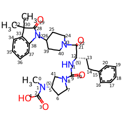 CN(C(=O)O)[C@H]1CCN(C(=O)N[C@@H](CCc2ccccc2)C(=O)N2CCC(N3C(=O)C(C)(C)c4ccccc43)CC2)C1